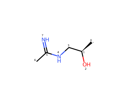 [CH2][C@@H](O)CNC(C)=N